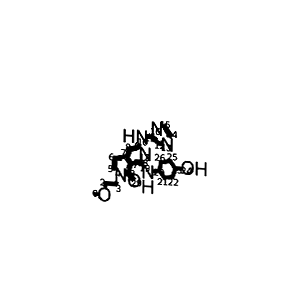 COCCn1ccc2cc(Nc3cnccn3)nc(NC3CCC(O)CC3)c2c1=O